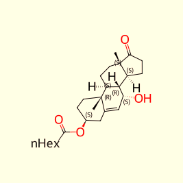 CCCCCCC(=O)O[C@H]1CC[C@@]2(C)C(=C[C@@H](O)[C@@H]3[C@@H]2CC[C@]2(C)C(=O)CC[C@@H]32)C1